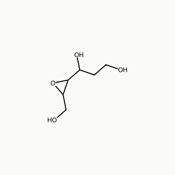 OCCC(O)C1OC1CO